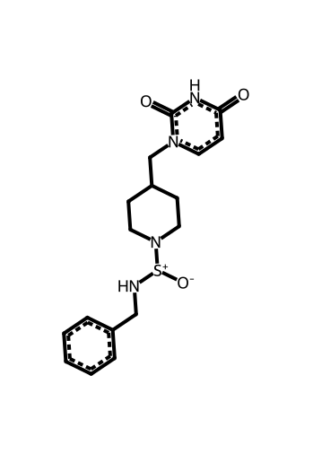 O=c1ccn(CC2CCN([S+]([O-])NCc3ccccc3)CC2)c(=O)[nH]1